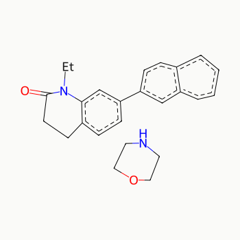 C1COCCN1.CCN1C(=O)CCc2ccc(-c3ccc4ccccc4c3)cc21